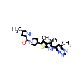 Cc1c(C2CCN(C(=O)[C@H]3C[C@H](C)CN3)CC2)sc2[nH]c(-c3cc(C)c4ncnn4c3)c(C(C)C)c12